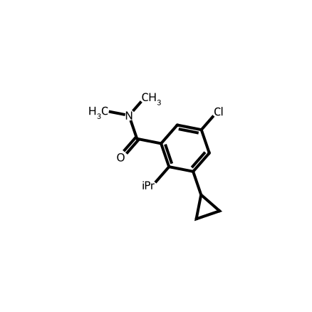 CC(C)c1c(C(=O)N(C)C)cc(Cl)cc1C1CC1